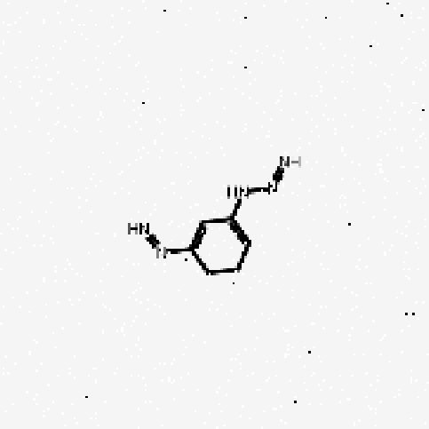 N=NNC1=CCCC(N=N)=C1